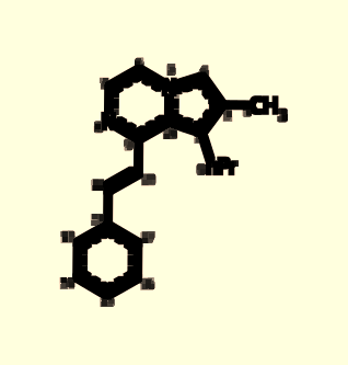 CCCc1c(C)cn2ccnc(C=Cc3ccccc3)c12